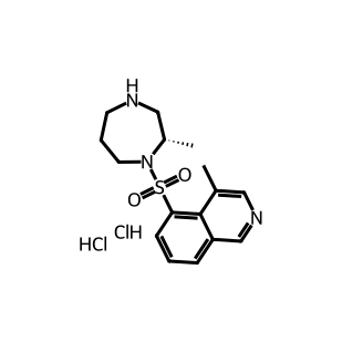 Cc1cncc2cccc(S(=O)(=O)N3CCCNC[C@@H]3C)c12.Cl.Cl